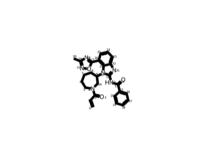 C=CC(=O)N1CCCCC(n2c(NC(=O)c3ccccc3)nc3cccc(-c4nc(C)no4)c32)C1